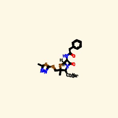 Cc1nnc(SCC2(C)S[C@H]3C(NC(=O)Cc4ccccc4)C(=O)N3C2C(=O)[O-])s1.[Na+]